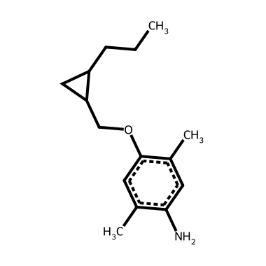 CCCC1CC1COc1cc(C)c(N)cc1C